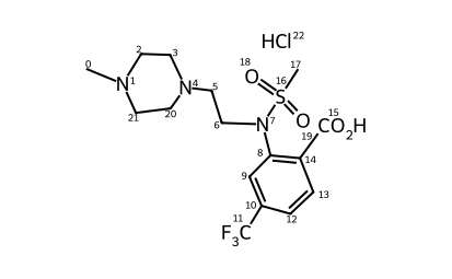 CN1CCN(CCN(c2cc(C(F)(F)F)ccc2C(=O)O)S(C)(=O)=O)CC1.Cl